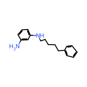 Nc1cccc(NCCCCCc2ccccc2)c1